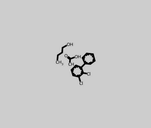 CC(=O)O.CCCCO.Clc1cccc(-c2ccccc2)c1Cl